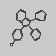 Clc1ccc(-c2c(-c3ccccc3)c(-c3ccccc3)c3ccccn23)cc1